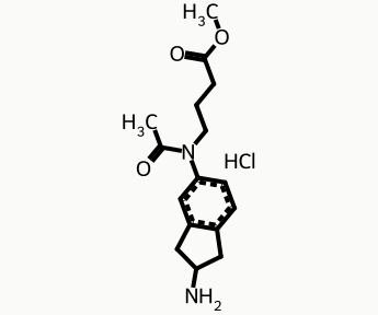 COC(=O)CCCN(C(C)=O)c1ccc2c(c1)CC(N)C2.Cl